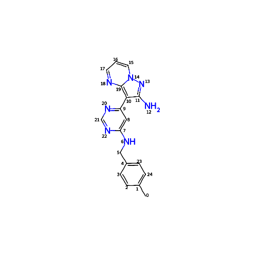 Cc1ccc(CNc2cc(-c3c(N)nn4cccnc34)ncn2)cc1